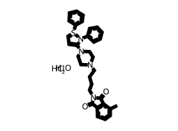 Cc1cccc2c1C(=O)N(CCCCN1CCN(C3=CC=S(c4ccccc4)N3c3ccccc3)CC1)C2=O.Cl.O